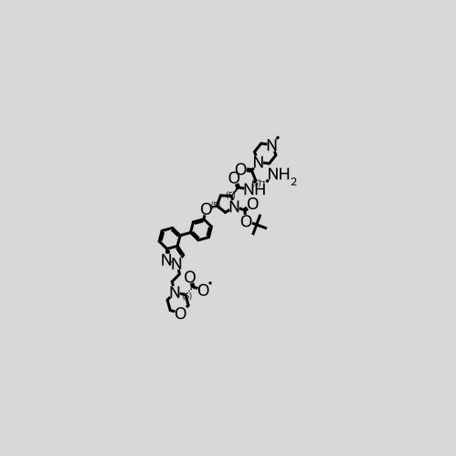 COC(=O)[C@@H]1COCCN1CCn1cc2c(-c3cccc(O[C@H]4C[C@@H](C(=O)N[C@@H](CN)C(=O)N5CCN(C)CC5)N(C(=O)OC(C)(C)C)C4)c3)cccc2n1